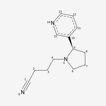 N#CCCCN1CCC[C@@H]1c1cccnc1